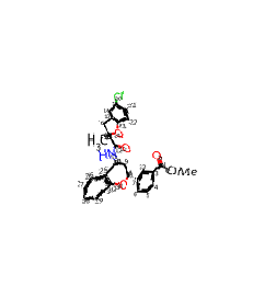 COC(=O)c1cccc([C@H]2C[C@@H](NC(=O)[C@]3(C)Cc4cc(Cl)ccc4O3)c3ccccc3O2)c1